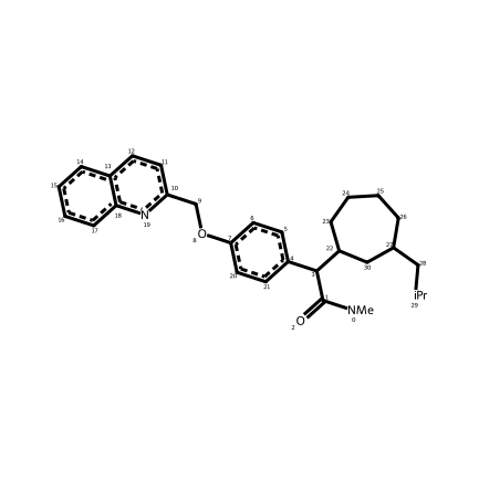 CNC(=O)C(c1ccc(OCc2ccc3ccccc3n2)cc1)C1CCCCC(CC(C)C)C1